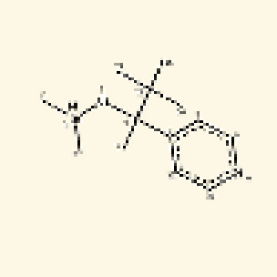 C[SiH](C)OC(C)(c1ccncc1)C(C)(C)C